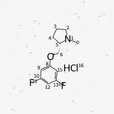 CN1CCC[C@H]1COc1cc(F)cc(F)c1.Cl